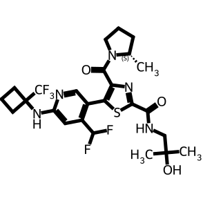 C[C@H]1CCCN1C(=O)c1nc(C(=O)NCC(C)(C)O)sc1-c1cnc(NC2(C(F)(F)F)CCC2)cc1C(F)F